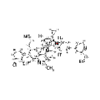 CCOc1cc(N2C[C@@H]3C[C@H](C2)N(C(=O)C2CC2)[C@H]3c2cc3c(C)nc4c(F)c(-c5cccc(Cl)c5Cl)c(CCC#N)cc4c3n2[C@H]2[C@H]3CN[C@@H]2C3)ccn1